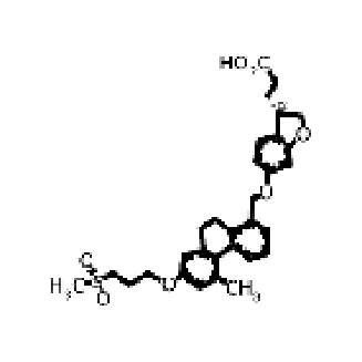 Cc1cc(OCCCS(C)(=O)=O)cc2c1-c1cccc(COc3ccc4c(c3)OC[C@H]4CCC(=O)O)c1CC2